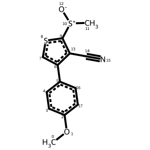 COc1ccc(-c2csc([S+](C)[O-])c2C#N)cc1